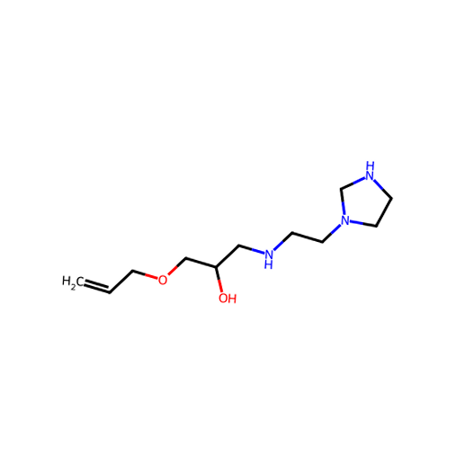 C=CCOCC(O)CNCCN1CCNC1